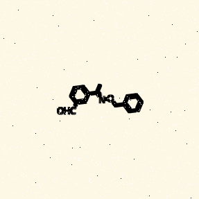 C/C(=N\OCc1ccccc1)c1cccc(C=O)c1